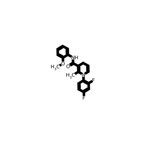 COc1ccccc1NC(=O)C1=C(C)N(c2ccc(F)cc2F)C=CC1